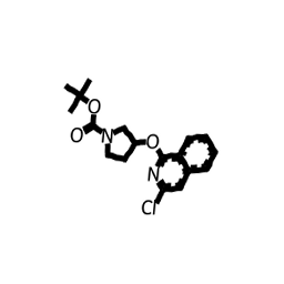 CC(C)(C)OC(=O)N1CCC(Oc2nc(Cl)cc3ccccc23)C1